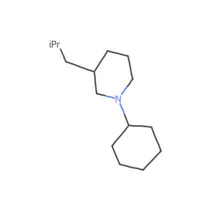 CC(C)CC1CCCN(C2CCCCC2)C1